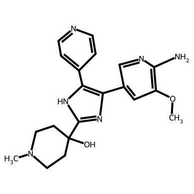 COc1cc(-c2nc(C3(O)CCN(C)CC3)[nH]c2-c2ccncc2)cnc1N